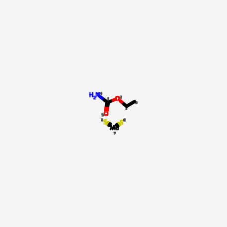 CCOC(N)=O.[S]=[Mo]=[S]